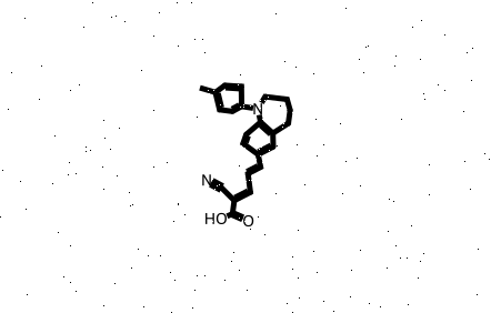 Cc1ccc(N2CCCCc3cc(/C=C/C=C(\C#N)C(=O)O)ccc32)cc1